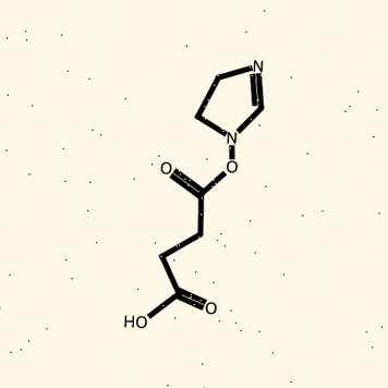 O=C(O)CCC(=O)ON1C=NCC1